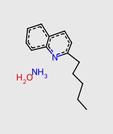 CCCCCc1ccc2ccccc2n1.N.O